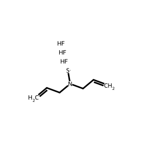 C=CCN([S])CC=C.F.F.F